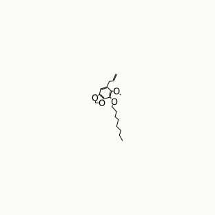 C=CCc1cc2c(c(OCCCCCCCC)c1OC)OCO2